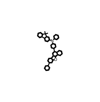 CC1(C)c2ccccc2-c2ccc(N(c3ccccc3)c3ccc(-c4cc5c6ccc(-c7ccccc7)cc6oc5c5ccccc45)cc3)cc21